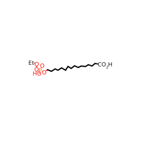 CCOOP(=O)(O)OCCCCCCCCCCCCCCCC(=O)O